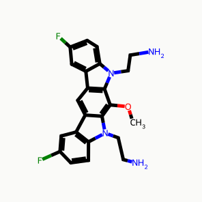 COc1c2c(cc3c4cc(F)ccc4n(CCN)c13)c1cc(F)ccc1n2CCN